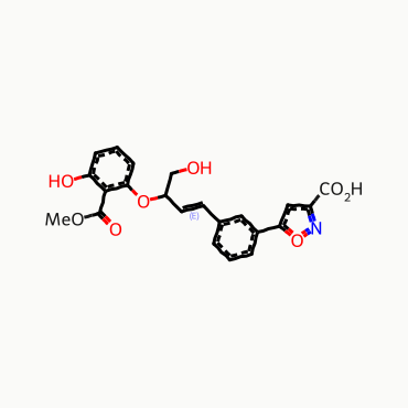 COC(=O)c1c(O)cccc1OC(/C=C/c1cccc(-c2cc(C(=O)O)no2)c1)CO